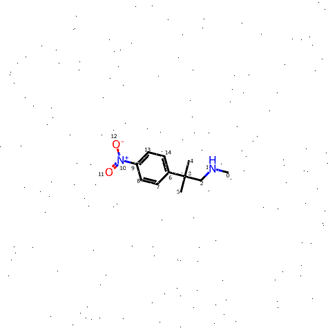 CNCC(C)(C)c1ccc([N+](=O)[O-])cc1